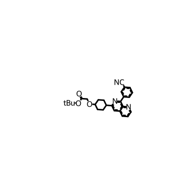 CC(C)(C)OC(=O)COC1CCC(c2cc3cccnc3c(-c3cccc(C#N)c3)n2)CC1